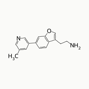 Cc1cncc(-c2ccc3c(CCN)coc3c2)c1